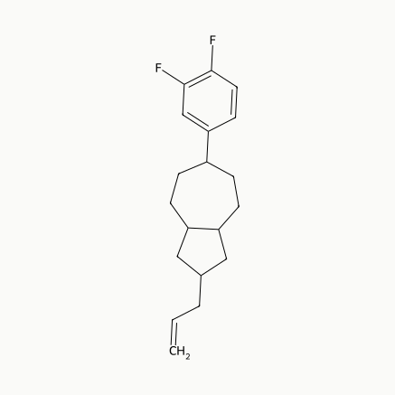 C=CCC1CC2CCC(c3ccc(F)c(F)c3)CCC2C1